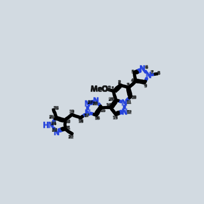 COc1cc(-c2cnn(C)c2)cn2ncc(-c3cn(CCc4c(C)n[nH]c4C)nn3)c12